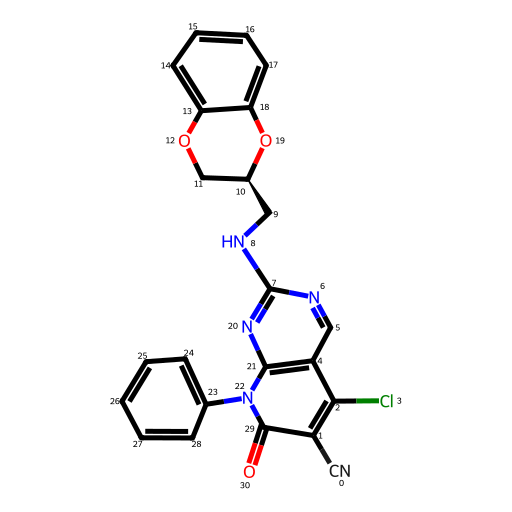 N#Cc1c(Cl)c2cnc(NC[C@H]3COc4ccccc4O3)nc2n(-c2ccccc2)c1=O